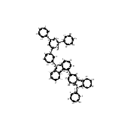 c1ccc(-c2cc(-c3cccc(-n4c5ccccc5c5c(-c6ccc7c(c6)c6ccccc6n7-c6ccccc6)cccc54)c3)nc(-c3ccccc3)n2)cc1